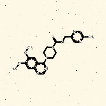 COc1cc2ncnc(N3CCN(C(=O)NCc4cnc(C)cn4)CC3)c2cc1OC